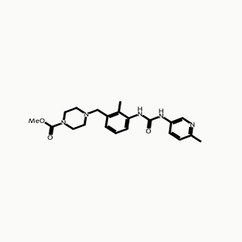 COC(=O)N1CCN(Cc2cccc(NC(=O)Nc3ccc(C)nc3)c2C)CC1